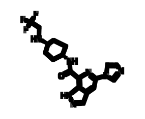 O=C(N[C@H]1CC[C@H](NCC(F)(F)F)CC1)c1nc(-n2ccnc2)cc2cn[nH]c12